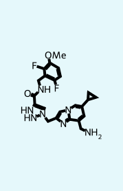 COc1ccc(F)c(CNC(=O)C2=CN(Cc3cn4cc(C5CC5)cc(CN)c4n3)NN2)c1F